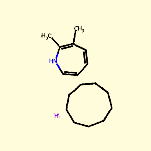 C1CCCCCCCC1.CC1=C(C)NC=CC=C1.I